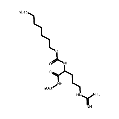 CCCCCCCCCCCCCCCCOC(=O)NC(CCCNC(=N)N)C(=O)NCCCCCCCC